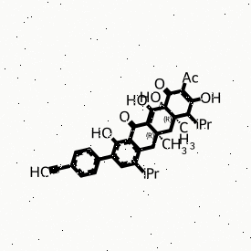 C#Cc1ccc(-c2cc(C(C)C)c3c(c2O)C(=O)C2=C(O)[C@@]4(O)C(=O)C(C(C)=O)=C(O)C(C(C)C)[C@@]4(C)C[C@@]2(C)C3)cc1